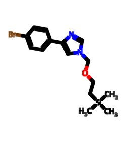 C[Si](C)(C)CCOCn1cnc(-c2ccc(Br)cc2)c1